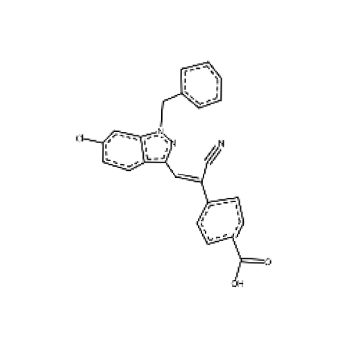 N#C/C(=C\c1nn(Cc2ccccc2)c2cc(Cl)ccc12)c1ccc(C(=O)O)cc1